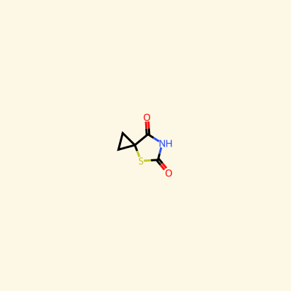 O=C1NC(=O)C2(CC2)S1